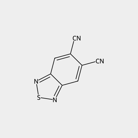 N#Cc1cc2nsnc2cc1C#N